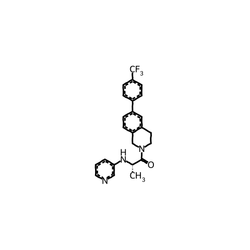 C[C@H](Nc1cccnc1)C(=O)N1CCc2cc(-c3ccc(C(F)(F)F)cc3)ccc2C1